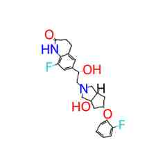 O=C1CCc2cc([C@H](O)CN3C[C@H]4C[C@H](Oc5ccccc5F)C[C@@]4(O)C3)cc(F)c2N1